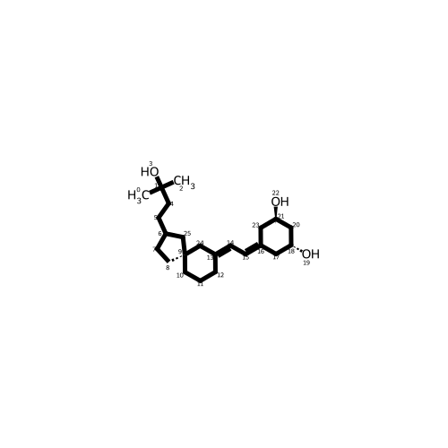 CC(C)(O)CCC1CC[C@]2(CCC/C(=C\C=C3C[C@@H](O)C[C@H](O)C3)C2)C1